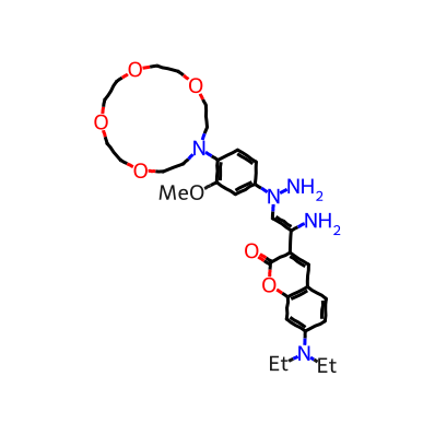 CCN(CC)c1ccc2cc(/C(N)=C/N(N)c3ccc(N4CCOCCOCCOCCOCC4)c(OC)c3)c(=O)oc2c1